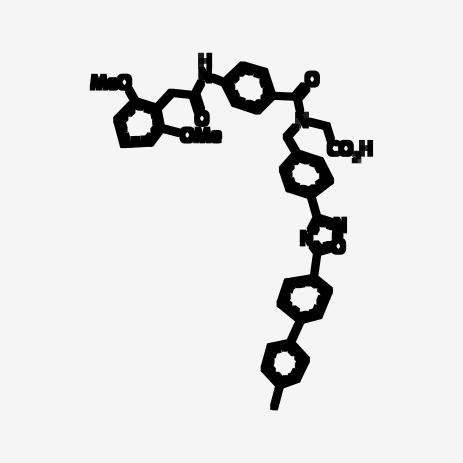 COc1cccc(OC)c1CC(=O)Nc1ccc(C(=O)N(CC(=O)O)Cc2ccc(-c3noc(-c4ccc(-c5ccc(C)cc5)cc4)n3)cc2)cc1